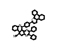 N#Cc1cc2nc(-c3ccccc3)c(-c3ccccc3)nc2c2c(-c3ccc(-c4ccc5c6ccccc6c6ccccc6c5c4)cc3)nc3ccccc3c12